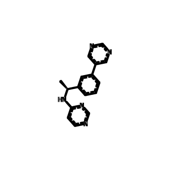 C[C@H](Nc1ccncn1)c1cccc(-c2cncnc2)c1